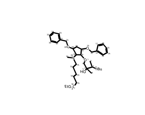 CCCCC(C)C(C)(O)COC1C(OCc2ccccc2)CC(OCc2ccccc2)C1N(C)CCCCCC(=O)OCC